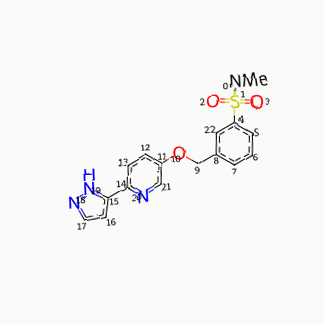 CNS(=O)(=O)c1cccc(COc2ccc(-c3ccn[nH]3)nc2)c1